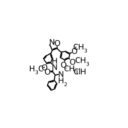 COc1ccc(-c2cnoc2-c2cc(OC)c(OC)c(OC)c2)cc1NC(=O)C(N)c1ccccc1.Cl